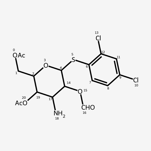 CC(=O)OCC1OC(Sc2ccc(Cl)cc2Cl)C(OC=O)C(N)C1OC(C)=O